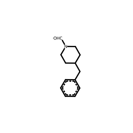 O=[C]N1CCC(Cc2ccccc2)CC1